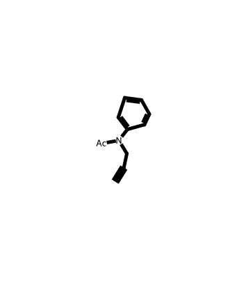 C#CCN(C(C)=O)c1ccccc1